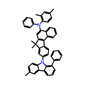 Cc1ccc(N(c2ccccc2)c2cc3c(c4ccccc24)-c2ccc(-n4c5ccc(C)cc5c5cccc(-c6ccccc6)c54)cc2C3(C)C)c(C)c1